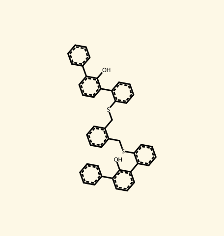 Oc1c(-c2ccccc2)cccc1-c1ccccc1SCc1ccccc1CSc1ccccc1-c1cccc(-c2ccccc2)c1O